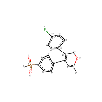 CC1=CC(c2ccc(S(C)(=O)=O)cc2)=C(c2ccc(F)cc2)CO1